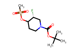 CC(C)(C)OC(=O)N1CCC(OS(C)(=O)=O)[C@H](F)C1